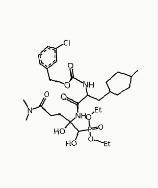 CCOP(=O)(OCC)C(O)C(O)(CCC(=O)N(C)C)NC(=O)C(CC1CCC(C)CC1)NC(=O)OCc1cccc(Cl)c1